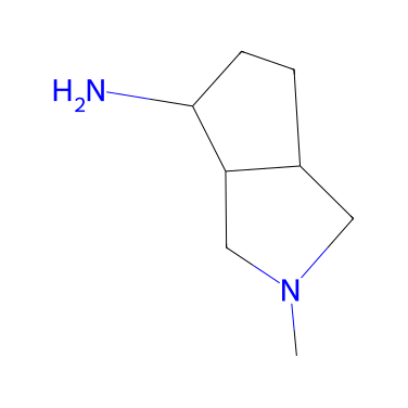 CN1CC2CCC(N)C2C1